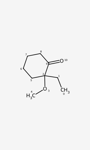 CCC1(OC)CCCCC1=O